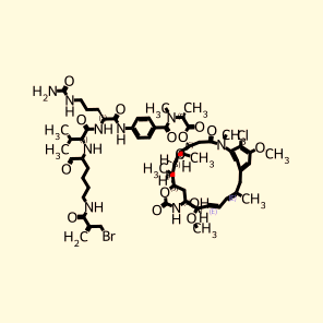 C=C(CBr)C(=O)NCCCCC(C=O)N[C@H](C(=O)N[C@@H](CCCNC(N)=O)C(=O)Nc1ccc(C(=O)N(C)[C@@H](C)C(=O)O[C@]23CC(=O)N(C)c4cc(cc(OC)c4Cl)C/C(C)=C/C=C/[C@@H](OC)[C@@]4(O)C[C@H](OC(=O)N4)[C@@H](C)[C@H](O2)[C@@H]3C)cc1)C(C)C